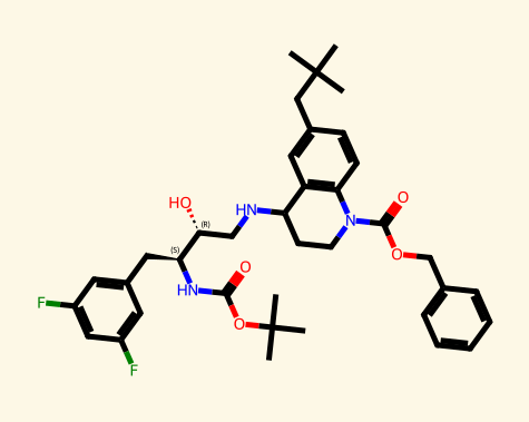 CC(C)(C)Cc1ccc2c(c1)C(NC[C@@H](O)[C@H](Cc1cc(F)cc(F)c1)NC(=O)OC(C)(C)C)CCN2C(=O)OCc1ccccc1